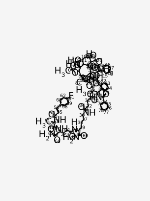 CC(=O)O[C@H]1C(=O)[C@@]2(C)[C@H]([C@H](OC(=O)c3ccccc3)[C@]3(O)C[C@H](OC(=O)[C@H](OC(=O)CCC(=O)NCCCCC(NC(=O)CC[C@H](NC(=O)C(C)NC(=O)/C=C/c4ccc(F)cc4)C(N)=O)C(N)=O)[C@H](NC(=O)c4ccccc4)c4ccccc4)C(C)=C1C3(C)C)[C@]1(OC(C)=O)CO[C@@H]1C[C@@H]2O